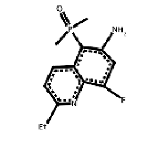 CCc1ccc2c(P(C)(C)=O)c(N)cc(F)c2n1